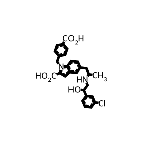 CC(Cc1ccc2c(c1)cc(C(=O)O)n2Cc1ccc(C(=O)O)cc1)NCC(O)c1cccc(Cl)c1